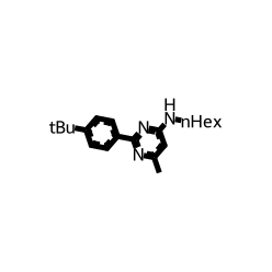 CCCCCCNc1cc(C)nc(-c2ccc(C(C)(C)C)cc2)n1